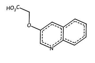 O=C(O)COc1cnc2ccccc2c1